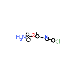 Cc1cc(C#Cc2ccc(-c3ccc(Cl)cc3)cn2)ccc1OCCC1(C2(CN)CCCC2)CCCCC1